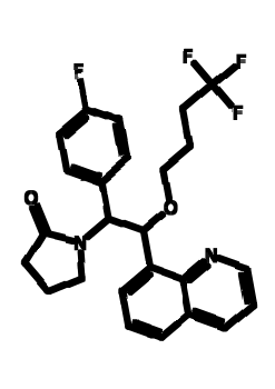 O=C1CCCN1C(c1ccc(F)cc1)C(OCCCC(F)(F)F)c1cccc2cccnc12